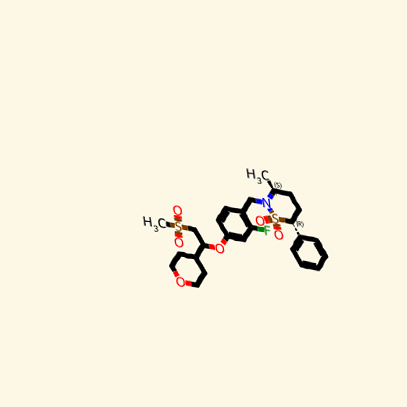 C[C@H]1CC[C@H](c2ccccc2)S(=O)(=O)N1Cc1ccc(OC(CS(C)(=O)=O)C2CCOCC2)cc1F